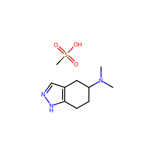 CN(C)C1CCc2[nH]ncc2C1.CS(=O)(=O)O